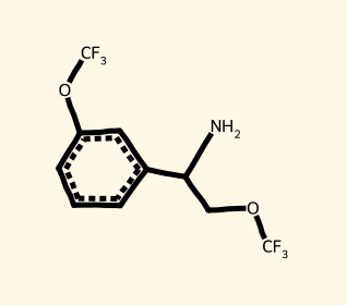 NC(COC(F)(F)F)c1cccc(OC(F)(F)F)c1